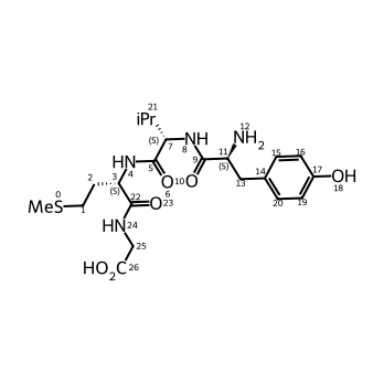 CSCC[C@H](NC(=O)[C@@H](NC(=O)[C@@H](N)Cc1ccc(O)cc1)C(C)C)C(=O)NCC(=O)O